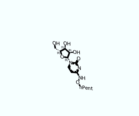 CCCCCONc1ccn([C@@H]2O[C@H](CO)[C@@H](O)[C@H]2O)c(=O)n1